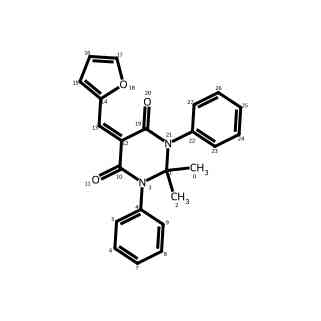 CC1(C)N(c2ccccc2)C(=O)C(=Cc2ccco2)C(=O)N1c1ccccc1